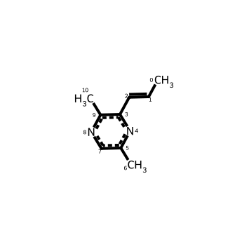 CC=Cc1nc(C)cnc1C